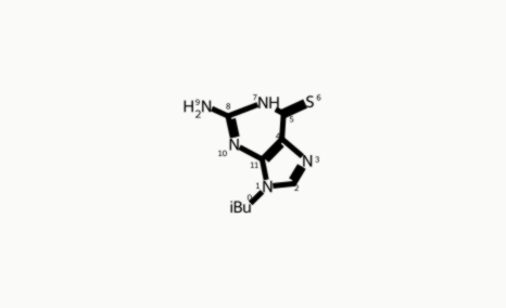 CCC(C)n1cnc2c(=S)[nH]c(N)nc21